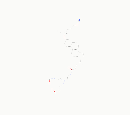 CC(=O)NCCN(CCNC(C)=O)CCNC(=O)CC[C@@H](C)[C@H]1CC[C@H]2[C@@H]3CC[C@@H]4C[C@H](O[Si](C)(C)CCCOC#N)CC[C@]4(C)[C@H]3CC[C@]12C